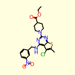 CCOC(=O)C1CCN(c2nc(NCc3cccc([N+](=O)[O-])c3)c3c(Cl)c(C)sc3n2)CC1